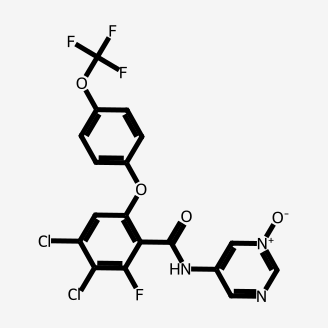 O=C(Nc1cnc[n+]([O-])c1)c1c(Oc2ccc(OC(F)(F)F)cc2)cc(Cl)c(Cl)c1F